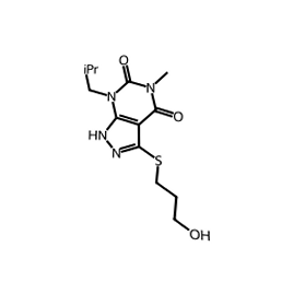 CC(C)Cn1c(=O)n(C)c(=O)c2c(SCCCO)n[nH]c21